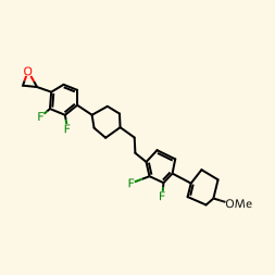 COC1CC=C(c2ccc(CCC3CCC(c4ccc(C5CO5)c(F)c4F)CC3)c(F)c2F)CC1